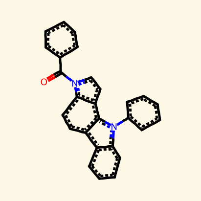 O=C(c1ccccc1)n1ccc2c1ccc1c3ccccc3n(-c3ccccc3)c12